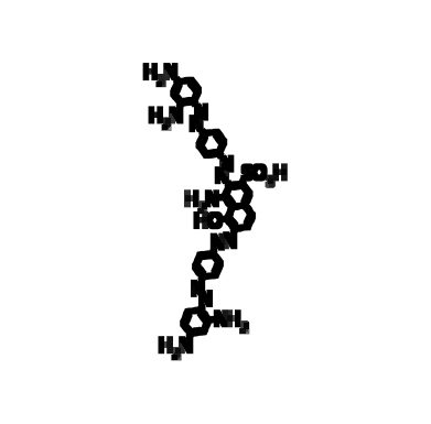 Nc1ccc(/N=N/c2ccc(N=Nc3ccc4cc(S(=O)(=O)O)c(N=Nc5ccc(/N=N/c6ccc(N)cc6N)cc5)c(N)c4c3O)cc2)c(N)c1